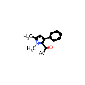 CC(=O)C(=O)c1c(-c2ccccc2)cc(C)n1C